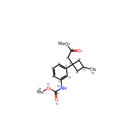 COC(=O)CC1(c2cccc(NC(=O)OC(C)(C)C)c2)CC(C#N)C1